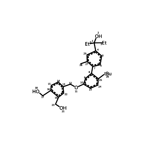 CCC(O)(CC)c1ccc(-c2cc(OCc3ccc(CO)c(CO)c3)ccc2C(C)(C)C)c(C)c1